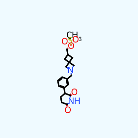 CS(=O)(=O)OCC1CC2(C1)CN(Cc1cccc(C3CCC(=O)NC3=O)c1)C2